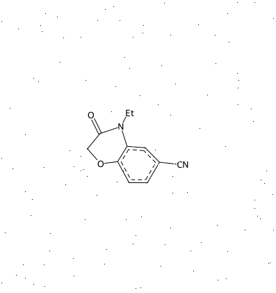 CCN1C(=O)COc2ccc(C#N)cc21